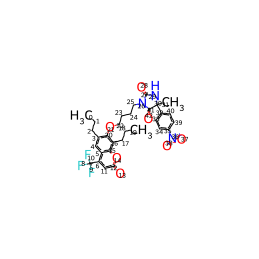 CCCc1cc2c(C(F)(F)F)cc(=O)oc2c(CCC)c1OCCCCN1C(=O)NC(C)(c2ccc([N+](=O)[O-])cc2)C1=O